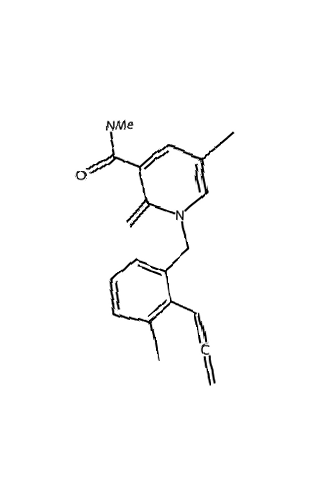 C=C=Cc1c(C)cccc1CN1C=C(C)C=C(C(=O)NC)C1=C